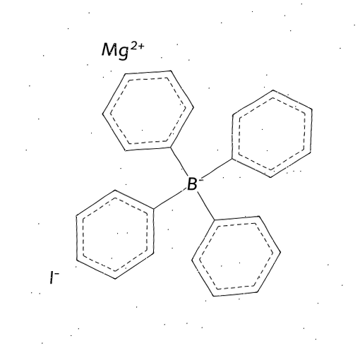 [I-].[Mg+2].c1ccc([B-](c2ccccc2)(c2ccccc2)c2ccccc2)cc1